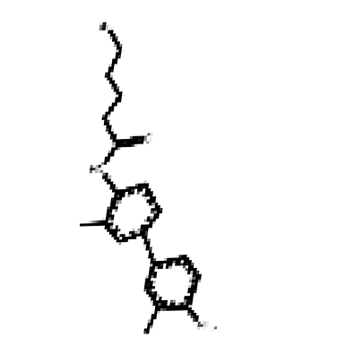 Cc1cc(-c2ccc(NC(=O)CCCCBr)c(C)c2)ccc1N